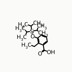 CCc1c(O[Si](C(C)C)(C(C)C)C(C)C)cccc1C(=O)O